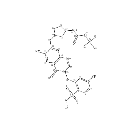 CCS(=O)(=O)c1ccc(Cl)cc1Cn1cnc2cc(CN3CC[C@@H](NC(=O)OC(C)(C)C)C3)c(F)cc2c1=O